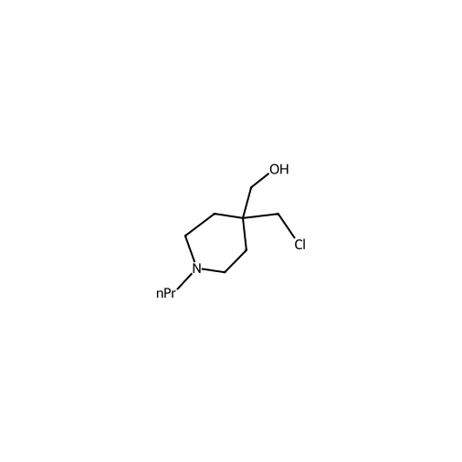 CCCN1CCC(CO)(CCl)CC1